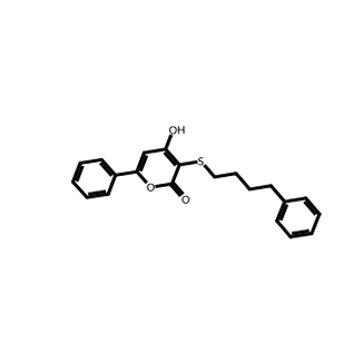 O=c1oc(-c2ccccc2)cc(O)c1SCCCCc1ccccc1